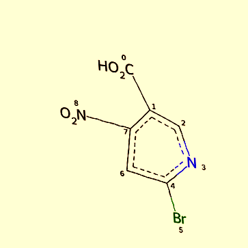 O=C(O)c1cnc(Br)cc1[N+](=O)[O-]